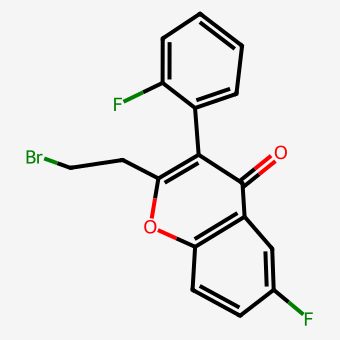 O=c1c(-c2ccccc2F)c(CCBr)oc2ccc(F)cc12